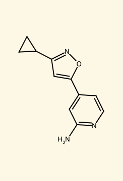 Nc1cc(-c2cc(C3CC3)no2)ccn1